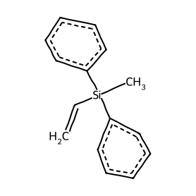 C=C[Si](C)(c1ccccc1)c1ccccc1